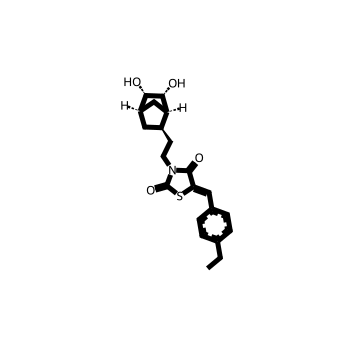 CCc1ccc(/C=C2\SC(=O)N(CC[C@H]3C[C@@H]4C[C@H]3[C@@H](O)[C@H]4O)C2=O)cc1